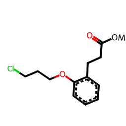 COC(=O)CCc1ccccc1OCCCCl